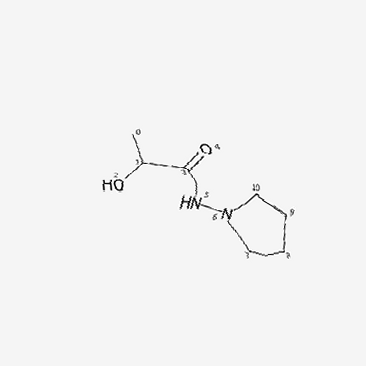 CC(O)C(=O)NN1CCCC1